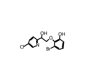 Oc1cccc(Br)c1OCC(O)c1ccc(Cl)cn1